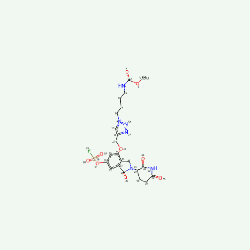 CC(C)(C)OC(=O)NCCCCn1cc(COc2cc(OS(=O)(=O)F)cc3c2CN(C2CCC(=O)NC2=O)C3=O)nn1